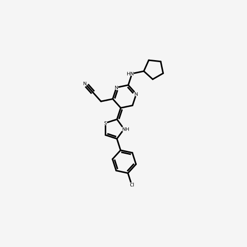 N#CCC1=NC(NC2CCCC2)=NCC1=C1NC(c2ccc(Cl)cc2)=CS1